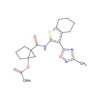 COC(=O)OC12CCCC1(C(=O)Nc1sc3c(c1-c1nc(C)no1)CCCC3)C2